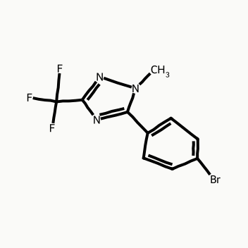 Cn1nc(C(F)(F)F)nc1-c1ccc(Br)cc1